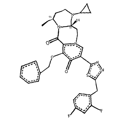 C[C@H]1CCN(C2CC2)[C@@H]2Cn3cc(-c4nnc(Cc5ccc(F)cc5F)s4)c(=O)c(OCc4ccccc4)c3C(=O)N12